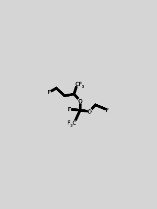 FCCC(OC(F)(OCF)C(F)(F)F)C(F)(F)F